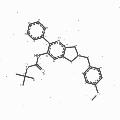 COc1ccc(CN2Cc3cc(NC(=O)OC(C)(C)C)c(-c4ccccc4)nc3C2)cc1